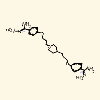 N/C(=N\C(=O)O)c1ccc(OCCCN2CCC(CCCOc3ccc(/C(N)=N\O)cc3)CC2)cc1